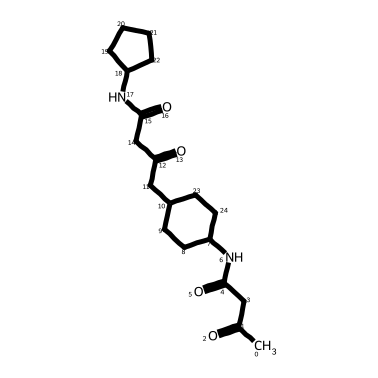 CC(=O)CC(=O)NC1CCC(CC(=O)CC(=O)NC2CCCC2)CC1